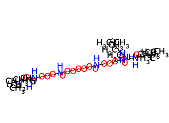 CC1=C(/C=C/C(C)=C/C=C/C(C)=C/C(=O)NCCCC[C@H](NC(=O)/C=C(C)/C=C/C=C(C)/C=C/C2=C(C)CCCC2(C)C)C(=O)NCCCOCCOCCOCCCNC(=O)CCOCCOCCOCCOCCOCCC(=O)NCCCOCCOCCOCCCNC(=O)CNC(=O)/C=C(C)/C=C/C=C(C)/C=C/C2=C(C)CCCC2(C)C)C(C)(C)CCC1